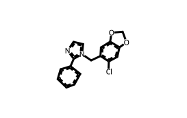 Clc1cc2c(cc1Cn1ccnc1-c1ccccc1)OCO2